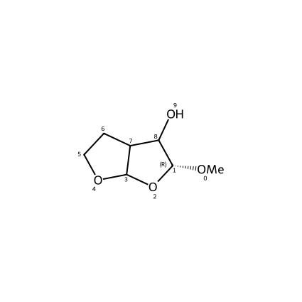 CO[C@@H]1OC2OCCC2C1O